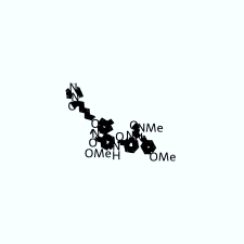 CNC(=O)c1nc2c(C(=O)Nc3ccc(C(=O)N(C)c4ccc(C)cc4OCCCCCC(=O)N4CCN(C)CC4)cc3OC)cccc2n1Cc1ccc(OC)cc1